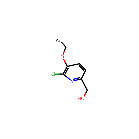 CC(=O)COc1ccc(CO)nc1Cl